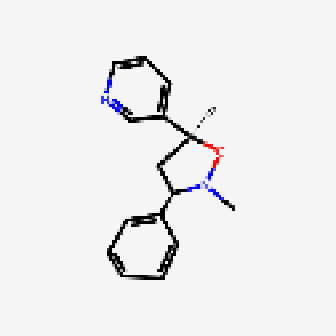 CN1O[C@](C)(c2cccnc2)C[C@@H]1c1ccccc1